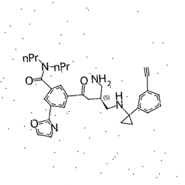 C#Cc1cccc(C2(NC[C@H](CN)CC(=O)c3cc(C(=O)N(CCC)CCC)cc(-c4ncco4)c3)CC2)c1